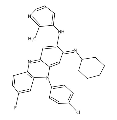 Cc1ncccc1Nc1cc2nc3ccc(F)cc3n(-c3ccc(Cl)cc3)c-2c/c1=N\C1CCCCC1